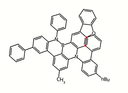 CCCCc1ccc(N2c3cc4oc5ccccc5c4cc3B3c4c(cc(C)cc42)-c2cc(-c4ccccc4)ccc2N3c2ccccc2)c(-c2ccccc2)c1